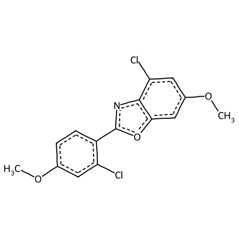 COc1ccc(-c2nc3c(Cl)cc(OC)cc3o2)c(Cl)c1